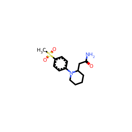 CS(=O)(=O)c1ccc(N2CCCCC2CC(N)=O)cc1